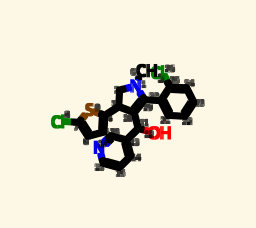 CN1CC(c2ccc(Cl)s2)C(C(O)c2cccnc2)=C1c1ccccc1Cl